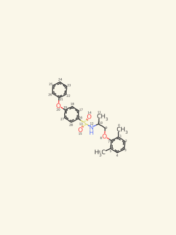 Cc1cccc(C)c1OCC(C)NS(=O)(=O)c1ccc(Oc2ccccc2)cc1